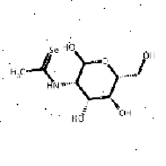 CC(=[Se])N[C@@H]1C(O)O[C@H](CO)[C@@H](O)[C@@H]1O